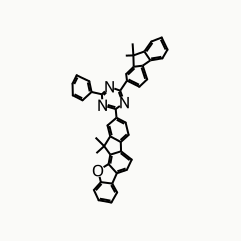 CC1(C)c2ccccc2-c2ccc(-c3nc(-c4ccccc4)nc(-c4ccc5c(c4)C(C)(C)c4c-5ccc5c4oc4ccccc45)n3)cc21